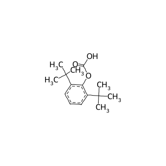 CC(C)(C)c1cccc(C(C)(C)C)c1OC(=O)O